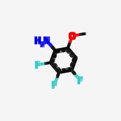 COc1cc(F)c(F)c(F)c1N